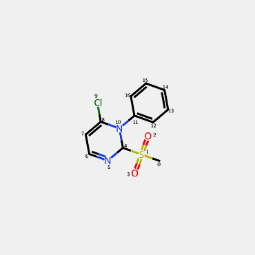 CS(=O)(=O)C1N=CC=C(Cl)N1c1ccccc1